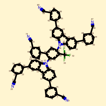 N#Cc1cccc(-c2ccc3c(c2)c2cc(-c4cccc(C#N)c4)ccc2n3-c2cc(C(F)(F)F)c(-n3c4ccc(-c5cccc(C#N)c5)cc4c4cc(-c5cccc(C#N)c5)ccc43)cc2-c2cccc(C#N)c2)c1